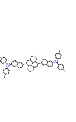 Cc1ccc(N(c2ccc(C)cc2)c2ccc3cc(-c4cc5c6c(c(-c7ccc8cc(N(c9ccc(C)cc9)c9ccc(C)cc9)ccc8c7)cc7c6c4CCC7)CCC5)ccc3c2)cc1